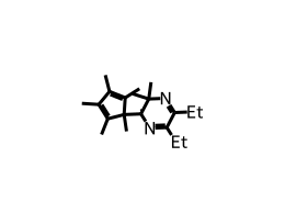 CCC1=N[C](C2(C)C(C)=C(C)C(C)=C2C)C(C)(C)N=C1CC